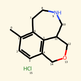 Cc1ccc2c3c1CCNCC3COC2.Cl